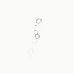 Cn1c(Nc2nc3ccc(Cl)cc3s2)nc2cc(C(=O)NCCN3CCNCC3)ccc21